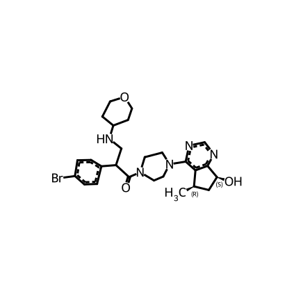 C[C@@H]1C[C@H](O)c2ncnc(N3CCN(C(=O)C(CNC4CCOCC4)c4ccc(Br)cc4)CC3)c21